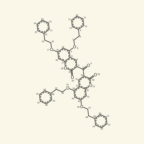 O=C(c1cc2c(OCCc3ccccc3)cc(OCCc3ccccc3)cc2oc1=O)c1cc2c(OCCc3ccccc3)cc(OCCc3ccccc3)cc2oc1=O